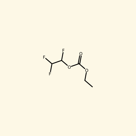 CCOC(=O)OC(F)C(F)F